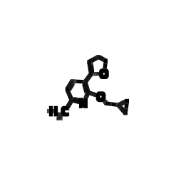 [CH2]c1ccc(C2=CCCO2)c(OCC2CC2)n1